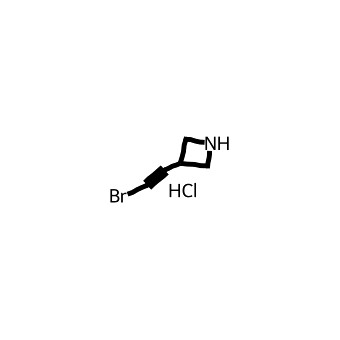 BrC#CC1CNC1.Cl